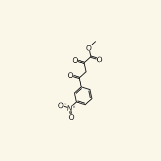 COC(=O)C(=O)CC(=O)c1cccc([N+](=O)[O-])c1